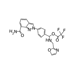 NC(=O)c1cccc2cn(-c3ccc(C(NCc4ncco4)OC(=O)C(F)(F)F)cc3)nc12